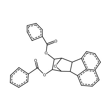 O=C(OC1C(OC(=O)c2ccccc2)C2OC1C1c3cccc4cccc(c34)C21)c1ccccc1